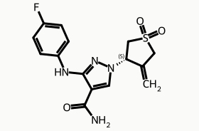 C=C1CS(=O)(=O)C[C@H]1n1cc(C(N)=O)c(Nc2ccc(F)cc2)n1